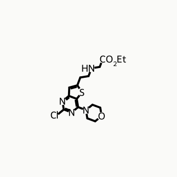 CCOC(=O)CNCCc1cc2nc(Cl)nc(N3CCOCC3)c2s1